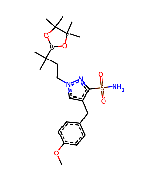 COc1ccc(Cc2cn(CCC(C)(C)B3OC(C)(C)C(C)(C)O3)nc2S(N)(=O)=O)cc1